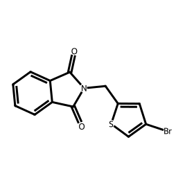 O=C1c2ccccc2C(=O)N1Cc1cc(Br)cs1